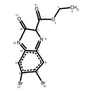 CCOC(=O)C1N=c2cc(Br)c(Br)cc2=NC1=O